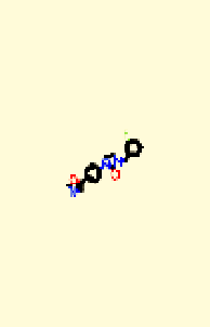 O=C1N(Cc2cccc(F)c2)CCN1c1ccc(-c2cnco2)cc1